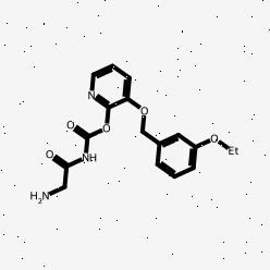 CCOc1cccc(COc2cccnc2OC(=O)NC(=O)CN)c1